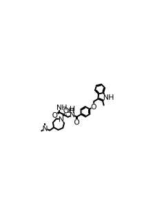 Cc1[nH]c2ccccc2c1COc1ccc(C(=O)NC[C@](O)(C(N)=O)N2CCCC(CN(C)C)CC2)cc1